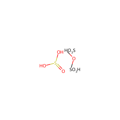 O=S(=O)(O)OS(=O)(=O)O.O=S(O)O